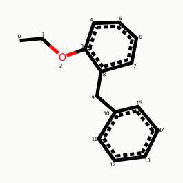 CCOc1ccccc1Cc1ccccc1